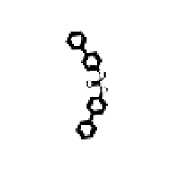 O=C(Oc1ccc(-c2ccccc2)cc1)Oc1ccc(-c2ccccc2)cc1